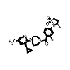 C[C@@H]1CCS(=O)(=O)N1c1ccc(C(=O)N2CCN(c3ncc(C(F)(F)F)cc3C3CC3)CC2)c(F)c1